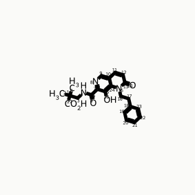 CC(C)(CNC(=O)c1ncc2ccc(=O)n(CCc3ccccc3)c2c1O)C(=O)O